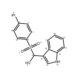 CC(C)c1ccc(S(=O)(=O)C(O)c2c[nH]c3ccccc23)cc1